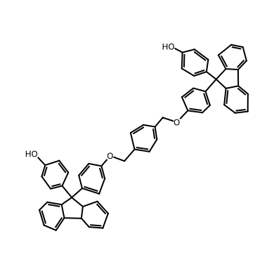 Oc1ccc(C2(c3ccc(OCc4ccc(COc5ccc(C6(c7ccc(O)cc7)c7ccccc7C7C=CC=CC76)cc5)cc4)cc3)c3ccccc3-c3ccccc32)cc1